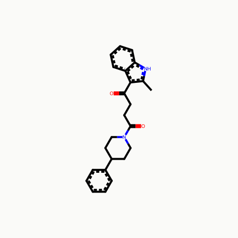 Cc1[nH]c2ccccc2c1C(=O)CCC(=O)N1CCC(c2ccccc2)CC1